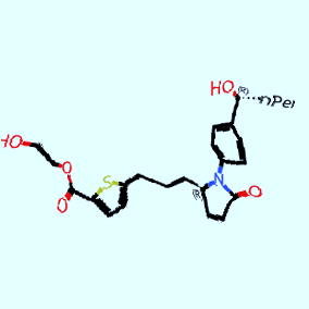 CCCCC[C@@H](O)c1ccc(N2C(=O)CC[C@H]2CCCc2ccc(C(=O)OCCO)s2)cc1